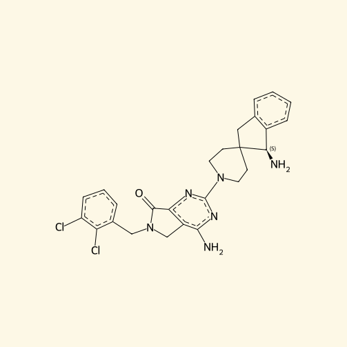 Nc1nc(N2CCC3(CC2)Cc2ccccc2[C@H]3N)nc2c1CN(Cc1cccc(Cl)c1Cl)C2=O